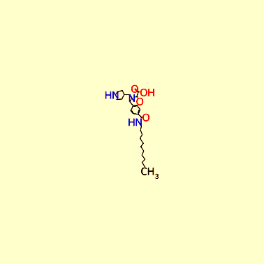 CCCCCCCCCCCCNC(=O)c1ccc(CN(CC2CCNCC2)C(=O)C(=O)O)cc1